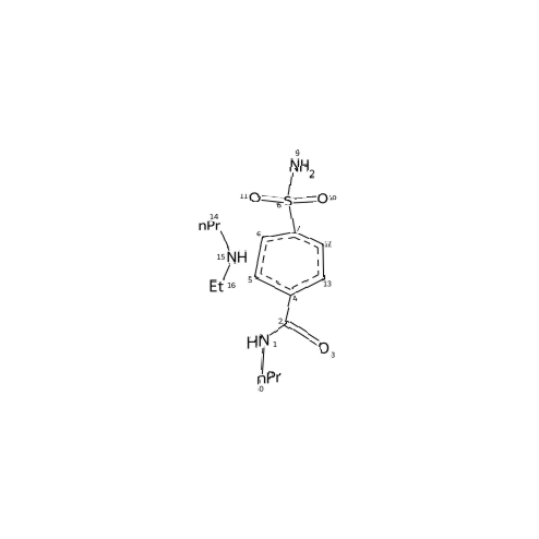 CCCNC(=O)c1ccc(S(N)(=O)=O)cc1.CCCNCC